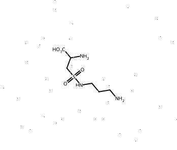 NCCCNS(=O)(=O)CC(N)C(=O)O